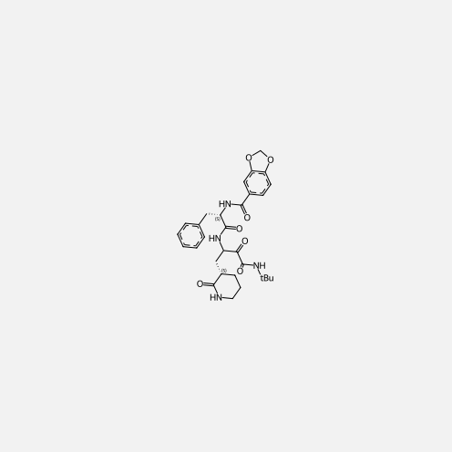 CC(C)(C)NC(=O)C(=O)C(C[C@@H]1CCCNC1=O)NC(=O)[C@H](Cc1ccccc1)NC(=O)c1ccc2c(c1)OCO2